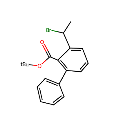 CC(Br)c1cccc(-c2ccccc2)c1C(=O)OC(C)(C)C